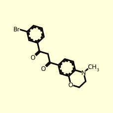 CN1CCOc2cc(C(=O)CC(=O)c3cccc(Br)c3)ccc21